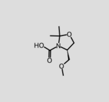 COC[C@@H]1COC(C)(C)N1C(=O)O